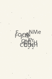 CNCc1cc(OCc2cc(F)c(F)cc2F)n(CCC(C)C)n1.O=C(O)CC(O)(CC(=O)O)C(=O)O